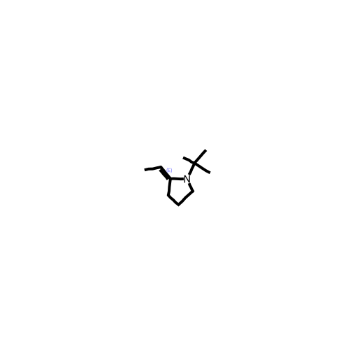 C/C=C1\CCCN1C(C)(C)C